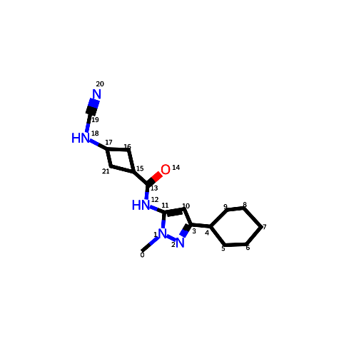 Cn1nc(C2CCCCC2)cc1NC(=O)C1CC(NC#N)C1